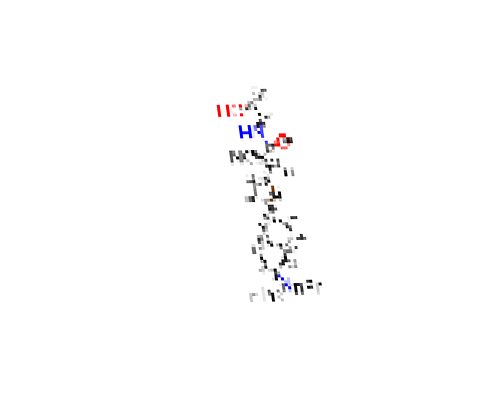 CCCN(CCC)c1ccc2cc(-c3ccc(/C(C)=C(\C#N)C(=O)NCC(O)CC)s3)ccc2c1